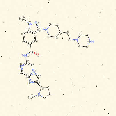 CN1CCC[C@@H]1c1cn2cc(NC(=O)c3ccc4c(c3)c(N3CCC(CCN5CCNCC5)CC3)nn4C)ncc2n1